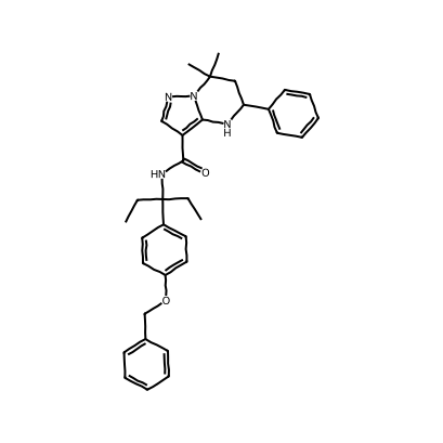 CCC(CC)(NC(=O)c1cnn2c1NC(c1ccccc1)CC2(C)C)c1ccc(OCc2ccccc2)cc1